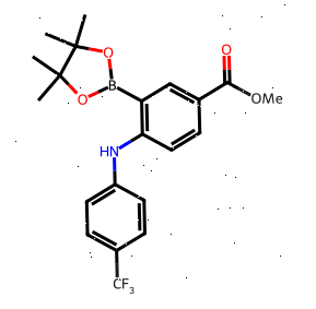 COC(=O)c1ccc(Nc2ccc(C(F)(F)F)cc2)c(B2OC(C)(C)C(C)(C)O2)c1